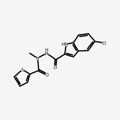 CN(NC(=O)c1cc2cc(Cl)ccc2[nH]1)C(=O)c1cccs1